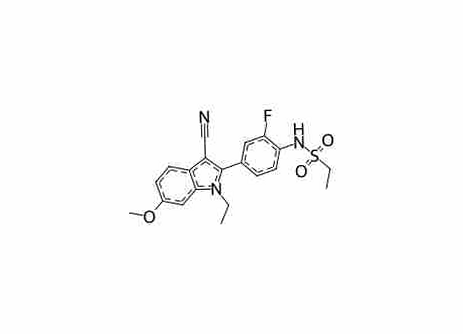 CCn1c(-c2ccc(NS(=O)(=O)CC)c(F)c2)c(C#N)c2ccc(OC)cc21